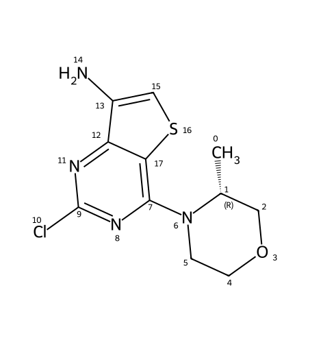 C[C@@H]1COCCN1c1nc(Cl)nc2c(N)csc12